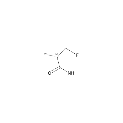 C[C@H](CF)C([NH])=O